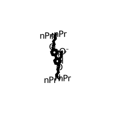 CCCN(CCC)CCCOc1ccc2c(c1)C[NH+]([O-])c1cc(OCCCN(CCC)CCC)ccc1-2